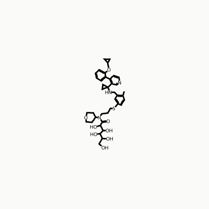 Cc1ccc(SCCCN(C(=O)C(O)C(O)C(O)C(O)CO)C2CCOCC2)cc1CNC1(c2cnccc2-c2ccccc2OC2CC2)CC1